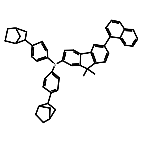 CC1(C)c2ccc(-c3cccc4ccccc34)cc2-c2ccc(N(c3ccc(C4CC5CCC4C5)cc3)c3ccc(C4CC5CCC4C5)cc3)cc21